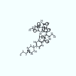 CCCN1CCC(c2ccc(C(=O)N[C@H](C(=O)N3C[C@H](OCC)[C@H]4OCC(=O)[C@H]43)[C@@H](C)CC)cc2)CC1